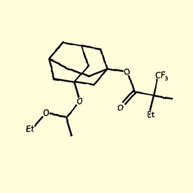 CCOC(C)OC12CC3CC(CC(OC(=O)C(C)(CC)C(F)(F)F)(C3)C1)C2